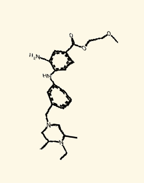 CCN1C(C)CN(Cc2cccc(Nc3ccc(C(=O)OCCOC)cc3N)c2)CC1C